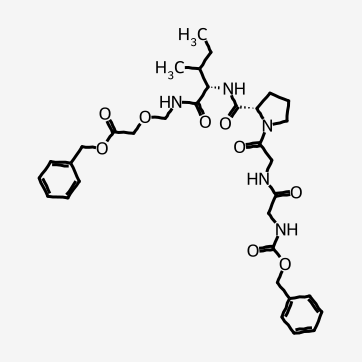 CCC(C)[C@H](NC(=O)[C@@H]1CCCN1C(=O)CNC(=O)CNC(=O)OCc1ccccc1)C(=O)NCOCC(=O)OCc1ccccc1